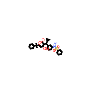 CC(C)(c1ccccc1)c1cc(O)c(C(c2cccc(NS(=O)(=O)c3ccccc3)c2)C2CC2)c(=O)o1